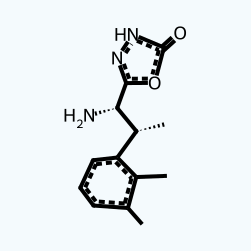 Cc1cccc([C@@H](C)[C@H](N)c2n[nH]c(=O)o2)c1C